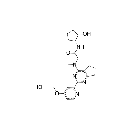 CN(CC(=O)N[C@@H]1CCC[C@@H]1O)c1nc(-c2cc(OCC(C)(C)O)ccn2)nc2c1CCC2